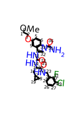 COCCOc1ccc2c(c1)c(NC(=O)N[C@@H](CC1CC1)C(=O)NCc1cccc(Cl)c1F)cn2C(N)=O